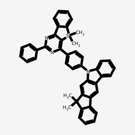 CC1(C)c2ccccc2-c2cc3c4ccccc4n(-c4ccc(-c5nc(-c6ccccc6)nc6c5[Si](C)(C)c5ccccc5-6)cc4)c3cc21